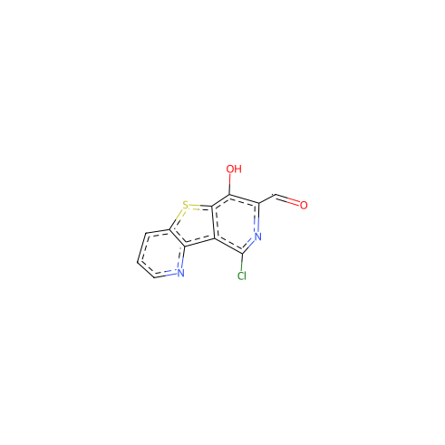 O=[C]c1nc(Cl)c2c(sc3cccnc32)c1O